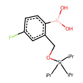 CC(C)[Si](OCc1cc(F)ccc1B(O)O)(C(C)C)C(C)C